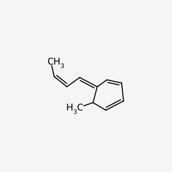 C/C=C\C=C1\C=CC=CC1C